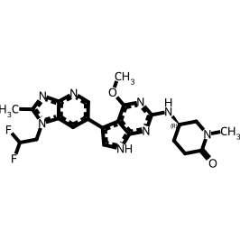 COc1nc(N[C@@H]2CCC(=O)N(C)C2)nc2[nH]cc(-c3cnc4nc(C)n(CC(F)F)c4c3)c12